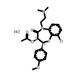 COc1ccc([C@@H]2Sc3c(Cl)cccc3N(CCN(C)C)C(=O)[C@@H]2OC(C)=O)cc1.Cl